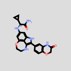 NC(=O)[C@@H](Nc1cc2c3c(c(-c4ccc5c(c4)NC(=O)CO5)[nH]c3c1)NCCO2)C1CC1